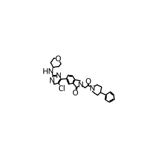 O=C(CN1Cc2ccc(-c3nc(NC4CCOCC4)ncc3Cl)cc2C1=O)N1CCC(c2ccccc2)CC1